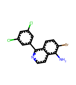 Nc1c(Br)ccc2c(-c3cc(Cl)cc(Cl)c3)nccc12